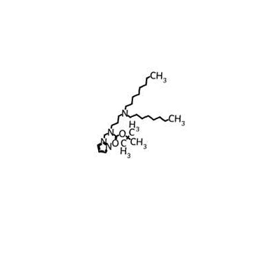 CCCCCCCCN(CCCCCCCC)CCCN(Cn1cccn1)C(=O)OC(C)(C)C